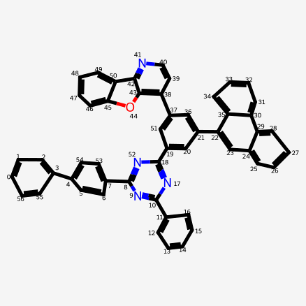 c1ccc(-c2ccc(-c3nc(-c4ccccc4)nc(-c4cc(-c5cc6ccccc6c6ccccc56)cc(-c5ccnc6c5oc5ccccc56)c4)n3)cc2)cc1